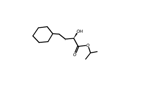 CC(C)OC(=O)[C@H](O)[CH]CC1CCCCC1